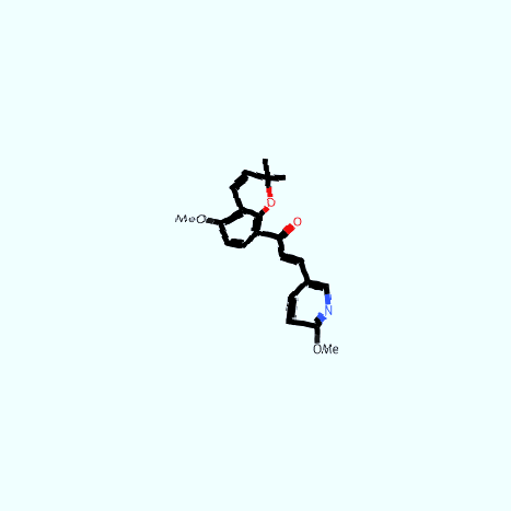 COc1ccc(C=CC(=O)c2ccc(OC)c3c2OC(C)(C)C=C3)cn1